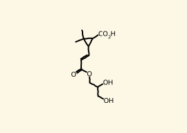 CC1(C)C(C=CC(=O)OCC(O)CO)C1C(=O)O